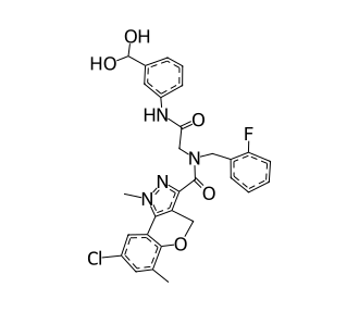 Cc1cc(Cl)cc2c1OCc1c(C(=O)N(CC(=O)Nc3cccc(C(O)O)c3)Cc3ccccc3F)nn(C)c1-2